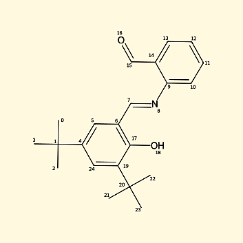 CC(C)(C)c1cc(/C=N/c2ccccc2C=O)c(O)c(C(C)(C)C)c1